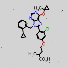 CC(CCOc1ccc(-c2nc3c(OC4(C)CC4)ncnc3n2Cc2ccccc2C2CC2)c(Cl)c1)C(=O)O